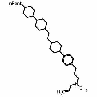 C=CCN(C)CCCc1ccc(C2CCC(CCC3CCC(C4CCC(CCCCC)CC4)CC3)CC2)cc1